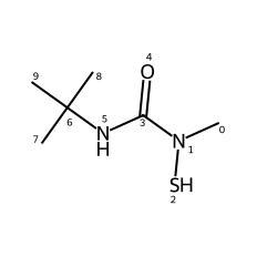 CN(S)C(=O)NC(C)(C)C